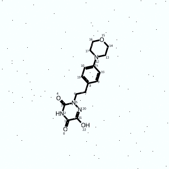 O=c1[nH]c(=O)n(CCc2ccc(N3CCOCC3)cc2)nc1O